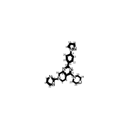 c1cnc(N2CCc3c(nc(-c4ccc(-n5cccn5)cc4)nc3N3CCOCC3)C2)nc1